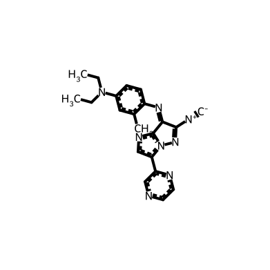 [C-]#[N+]C1=Nn2c(-c3cnccn3)cnc2/C1=N\c1ccc(N(CC)CC)cc1C